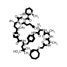 C#CCCCON(C(=O)[C@@H](NC(=O)[C@H]1CCCCN1C)[C@@H](C)CC)[C@H](C[C@@H](OC(C)=O)c1nc(C(=O)N[C@@H](Cc2ccc(NC(=O)[C@H](C)NC(=O)[C@@H](C)NC(=O)[C@H](C)NC(=O)COC3C#CCCCCC3)cc2)CC(C)(C)C(=O)O)cs1)C(C)C